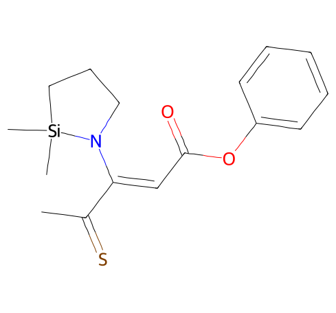 CC(=S)C(=CC(=O)Oc1ccccc1)N1CCC[Si]1(C)C